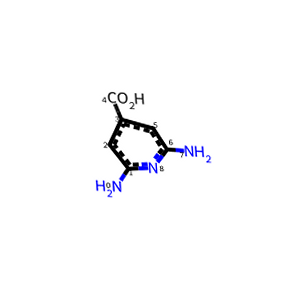 Nc1cc(C(=O)O)cc(N)n1